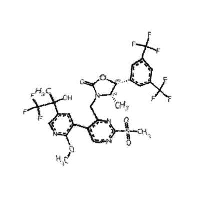 COc1ncc(C(C)(O)C(F)(F)F)cc1-c1cnc(S(C)(=O)=O)nc1CN1C(=O)O[C@H](c2cc(C(F)(F)F)cc(C(F)(F)F)c2)[C@@H]1C